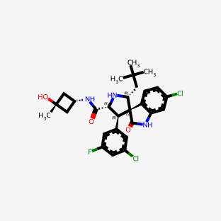 CC(C)(C)C[C@H]1N[C@@H](C(=O)N[C@H]2C[C@@](C)(O)C2)[C@H](c2cc(F)cc(Cl)c2)[C@@]12C(=O)Nc1cc(Cl)ccc12